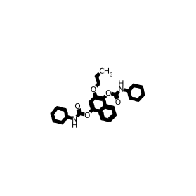 CCCOc1cc(OC(=O)NC2CCCCC2)c2ccccc2c1OC(=O)NC1CCCCC1